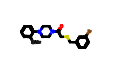 COc1ccccc1N1CCN(C(=O)CSCc2cccc(Br)c2)CC1